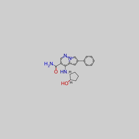 NC(=O)c1cnn2cc(-c3ccccc3)cc2c1N[C@@H]1CCC[C@H]1O